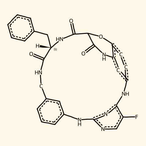 O=C1Nc2cc3ccc2OC1C(=O)N[C@@H](Cc1ccccc1)C(=O)NCc1cccc(c1)Nc1ncc(F)c(n1)N3